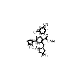 COC(=O)C1=C(CN2CC(F)(F)CC2C(=O)O)NC(c2nccs2)=N[C@H]1c1ccc(C#N)cc1Cl